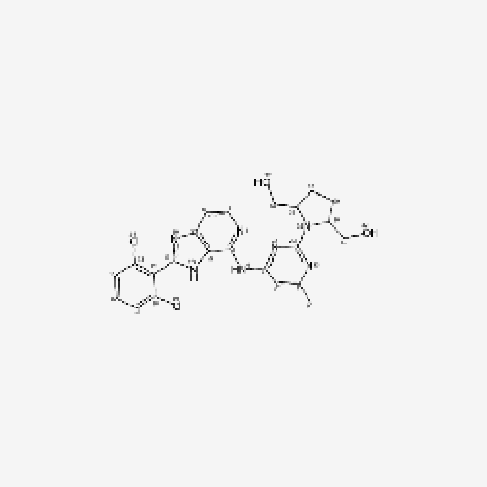 Cc1cc(Nc2nccc3nc(-c4c(Cl)cccc4Cl)[nH]c23)nc(N2C(CO)CCC2CO)n1